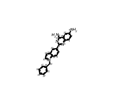 Nc1ccc2nc(-c3ccc4c(ccn4Cc4ccccc4)c3)nc(N)c2c1